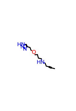 CC#CCCNCCCCOCCc1c[nH]nn1